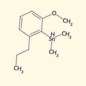 CCCc1cccc(OC)[c]1[SnH]([CH3])[CH3]